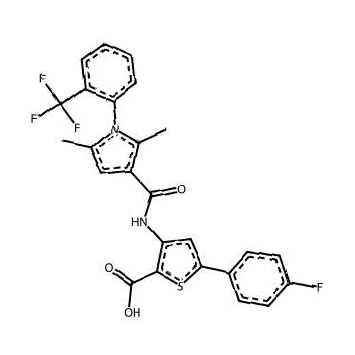 Cc1cc(C(=O)Nc2cc(-c3ccc(F)cc3)sc2C(=O)O)c(C)n1-c1ccccc1C(F)(F)F